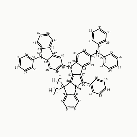 CC1(C)c2ccccc2-n2c(-c3ccccc3)c3c4cc(N(c5ccccc5)c5ccccc5)ccc4n(-c4ccc5c(c4)c4ccccc4n5-c4ccccc4)c3c21